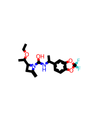 C=C1CC(C(C)OCC)N1C(O)NC(C)c1ccc2c(c1)OC(F)(F)O2